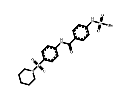 CC(C)(C)S(=O)(=O)Nc1ccc(C(=O)Nc2ccc(S(=O)(=O)N3CCCCC3)cc2)cc1